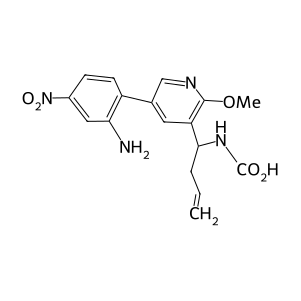 C=CCC(NC(=O)O)c1cc(-c2ccc([N+](=O)[O-])cc2N)cnc1OC